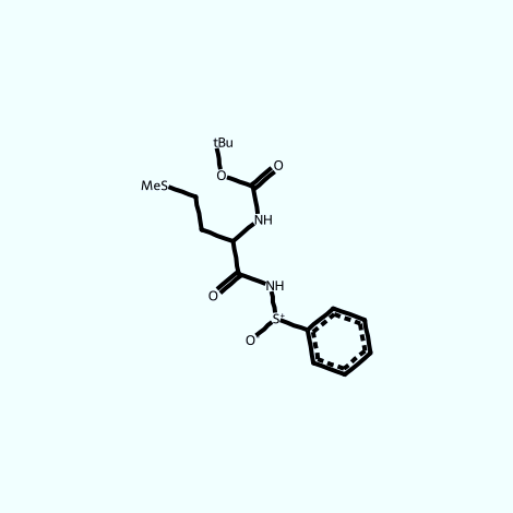 CSCCC(NC(=O)OC(C)(C)C)C(=O)N[S+]([O-])c1ccccc1